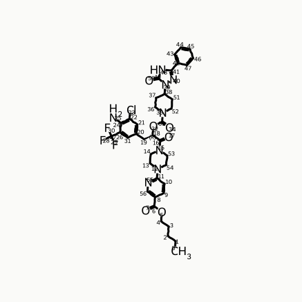 CCCCCOC(=O)c1ccc(N2CCN(C(=O)[C@@H](Cc3cc(Cl)c(N)c(C(F)(F)F)c3)OC(=O)N3CCC(n4nc(-c5ccccc5)[nH]c4=O)CC3)CC2)nc1